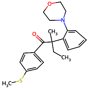 CCC(C)(C(=O)c1ccc(SC)cc1)c1ccccc1N1CCOCC1